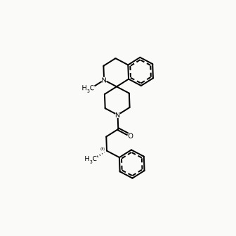 C[C@H](CC(=O)N1CCC2(CC1)c1ccccc1CCN2C)c1ccccc1